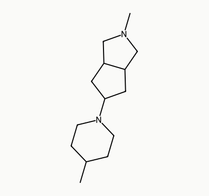 CC1CCN(C2CC3CN(C)CC3C2)CC1